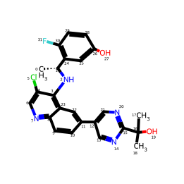 C[C@@H](Nc1c(Cl)cnc2ccc(-c3cnc(C(C)(C)O)nc3)cc12)c1cc(O)ccc1F